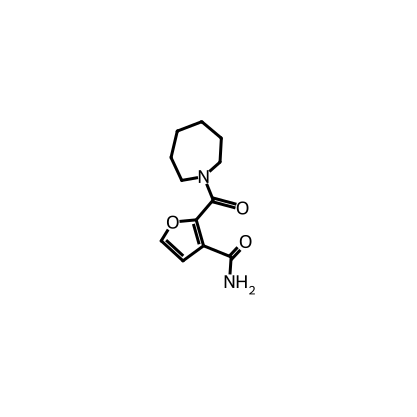 NC(=O)c1ccoc1C(=O)N1CCCCCC1